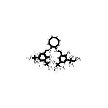 CCC(C)(C)c1cc(C(C)(C)C)cc(CSC2CCCCCCC2SCc2cc(C(C)(C)C)cc(C(C)(C)C)c2O)c1O